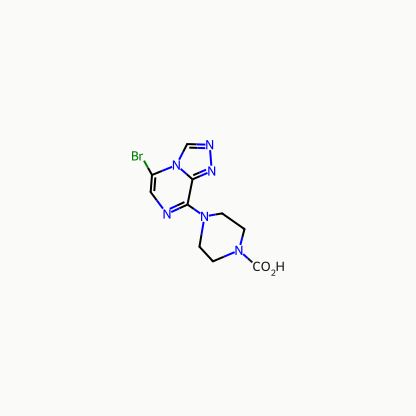 O=C(O)N1CCN(c2ncc(Br)n3cnnc23)CC1